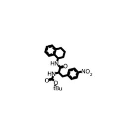 CC(C)(C)OC(=O)NC(Cc1ccc([N+](=O)[O-])cc1)C(=O)NC1CCCc2ccccc21